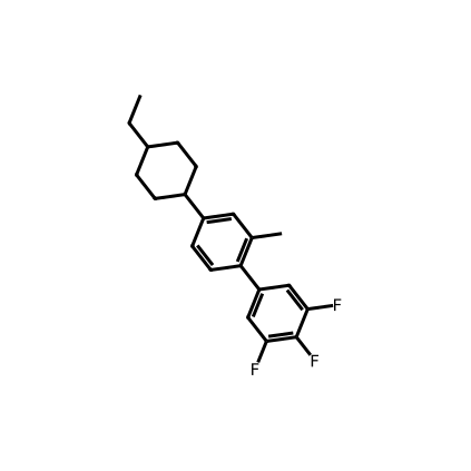 CCC1CCC(c2ccc(-c3cc(F)c(F)c(F)c3)c(C)c2)CC1